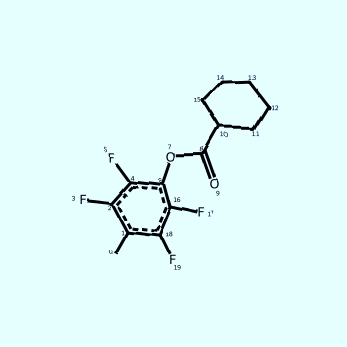 Cc1c(F)c(F)c(OC(=O)C2CCCCC2)c(F)c1F